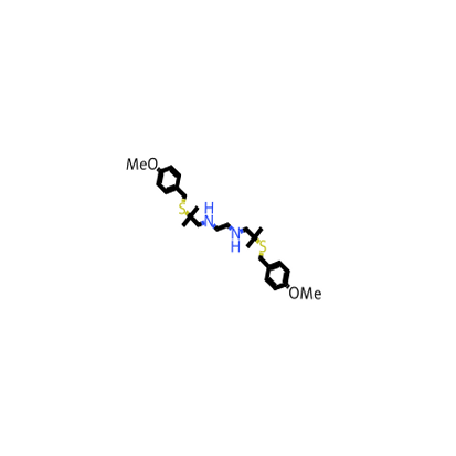 COc1ccc(CSC(C)(C)CNCCNCC(C)(C)SCc2ccc(OC)cc2)cc1